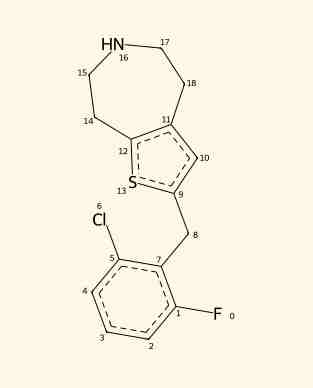 Fc1cccc(Cl)c1Cc1cc2c(s1)CCNCC2